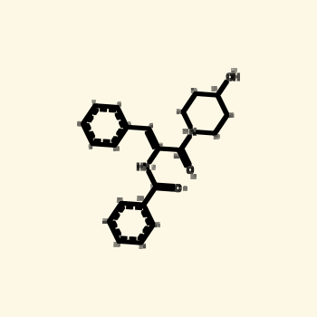 O=C(NC(=Cc1ccccc1)C(=O)N1CCC(O)CC1)c1ccccc1